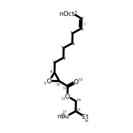 CCCCCCCC/C=C\CCCCCC1OC1C(=O)OCC(CC)CCCC